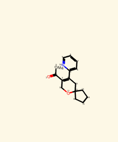 COC(=O)C1=C(c2ccccn2)CC2(CCCC2)OC1